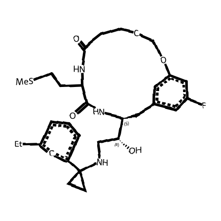 CCc1cccc(C2(NC[C@@H](O)[C@@H]3Cc4cc(F)cc(c4)OCCCCC(=O)NC(CCSC)C(=O)N3)CC2)c1